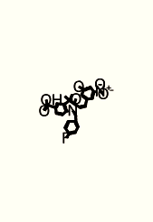 COc1cc([N+](=O)[O-])cc2c1OC1(C=C2)N(Cc2ccc(F)cc2)c2ccc(C(=O)O)cc2C1(C)C